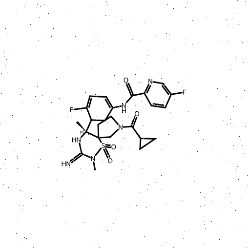 CN1C(=N)N[C@](C)(C2CC(NC(=O)c3ccc(F)cn3)=CC=C2F)C2(CCN(C(=O)C3CC3)C2)S1(=O)=O